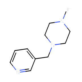 CC(C)N1CCN(Cc2cccnc2)CC1